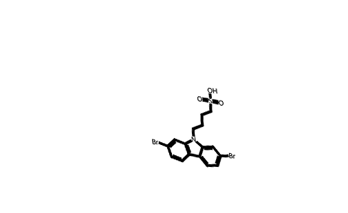 O=S(=O)(O)CCCCn1c2cc(Br)ccc2c2ccc(Br)cc21